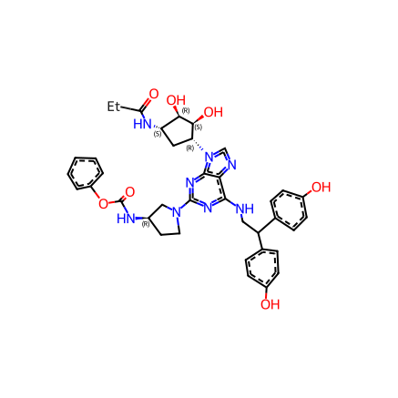 CCC(=O)N[C@H]1C[C@@H](n2cnc3c(NCC(c4ccc(O)cc4)c4ccc(O)cc4)nc(N4CC[C@@H](NC(=O)Oc5ccccc5)C4)nc32)[C@H](O)[C@@H]1O